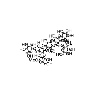 COC1OC(CO)[C@@H](O)[C@H](O[C@H]2OC(CO[C@@H]3OC(CO)[C@@H](O)[C@H](O)C3O)[C@@H](O)[C@H](O[C@@H]3OC(CO)[C@@H](O)[C@H](O[C@H]4OC(CO[C@@H]5OC(CO)[C@@H](O)[C@H](O)C5O)[C@@H](O)[C@H](O[C@@H]5OC(CO)[C@@H](O)[C@H](O)C5O)C4O)C3O)C2O)C1O